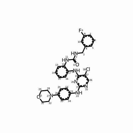 O=C(NCc1cccc(F)c1)Nc1ccccc1Nc1nc(Nc2ccc(N3CCOCC3)cc2)ncc1Cl